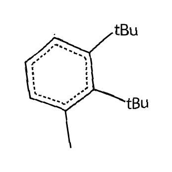 Cc1cc[c]c(C(C)(C)C)c1C(C)(C)C